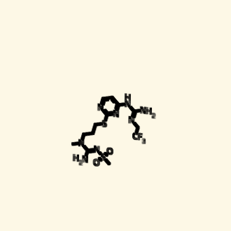 CN(CCCSc1nccc(NC(N)=NCC(F)(F)F)n1)C(N)=NS(C)(=O)=O